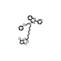 O=C(CCCCCCCN(CCOc1ccccc1)c1nc(-c2cccnc2)nc2ccccc12)ON1C(=O)CCC1=O